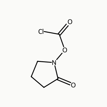 O=C(Cl)ON1CCCC1=O